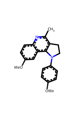 COc1ccc(N2CCc3c(C)nc4ccc(OC)cc4c32)cc1